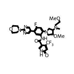 COCCN(C)C1CN(c2cc(F)c(-c3cnc(N4CCOCC4)nc3)cc2NC(=O)c2c[nH]c(=O)cc2C(F)(F)F)C[C@@H]1OC